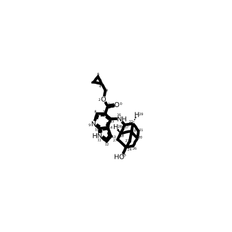 O=C(OCC1CC1)c1cnc2[nH]ccc2c1NC1[C@@H]2CC3C[C@H]1CC(O)(C3)C2